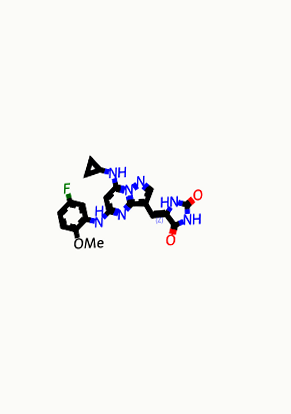 COc1ccc(F)cc1Nc1cc(NC2CC2)n2ncc(/C=C3\NC(=O)NC3=O)c2n1